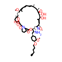 C#CCCCCO[C@@H]1CC[C@@H](C[C@@H](N)[C@@H]2C/C(=N/OC)[C@H](C)/C=C(\C)[C@@H](O)[C@@H](O)C(=O)[C@H](C)C[C@H](C)/C=C/C=C/C=C(\C)[C@@H](OC)C[C@@H]3CC[C@@H](C)[C@@](O)(O3)C(=O)C(=O)N3CCCC[C@H]3C(=O)O2)C[C@H]1OC